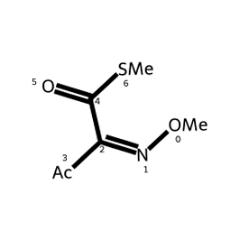 CO/N=C(/C(C)=O)C(=O)SC